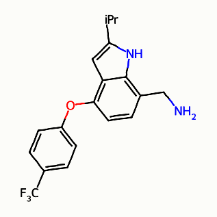 CC(C)c1cc2c(Oc3ccc(C(F)(F)F)cc3)ccc(CN)c2[nH]1